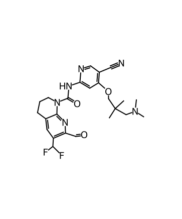 CN(C)CC(C)(C)COc1cc(NC(=O)N2CCCc3cc(C(F)F)c(C=O)nc32)ncc1C#N